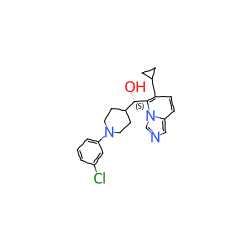 O[C@H](c1c(C2CC2)ccc2cncn12)C1CCN(c2cccc(Cl)c2)CC1